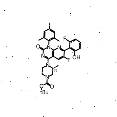 Cc1cc(C)c(-n2c(=O)nc(N3CCN(C(=O)OC(C)(C)C)C[C@@H]3C)c3cc(F)c(-c4c(O)cccc4F)nc32)c(C)c1